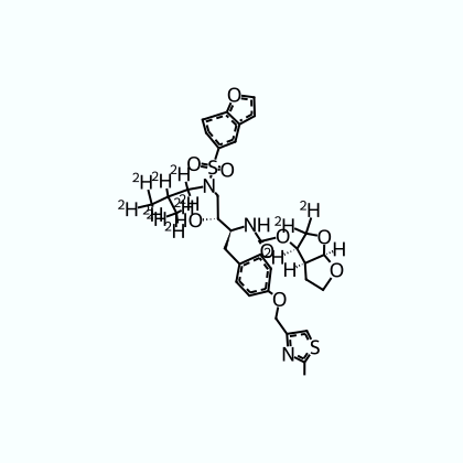 [2H]C([2H])([2H])C([2H])(C([2H])([2H])[2H])C([2H])([2H])N(C[C@@H](O)[C@H](Cc1ccc(OCc2csc(C)n2)cc1)NC(=O)O[C@]1([2H])[C@@H]2CCO[C@@H]2OC1([2H])[2H])S(=O)(=O)c1ccc2occc2c1